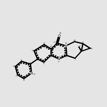 CC12Cc3nc4cc(-c5ccccn5)ccc4c(=O)n3CC1C2